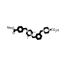 COC(=O)c1ccc(CN2C[C@@H](C)N(Cc3cccc(CN4CCN(C(=O)O)CC4)c3)[C@@H](C)C2)cc1